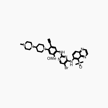 C#Cc1cc(Nc2ncc(Br)c(Nc3ccc4nccnc4c3P(C)(C)=O)n2)c(OC)cc1N1CCC(N2CCN(C)CC2)CC1